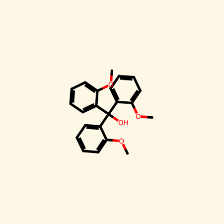 COc1ccccc1C(O)(c1ccccc1OC)c1ccccc1OC